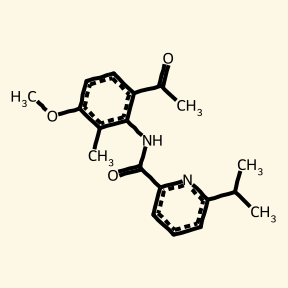 COc1ccc(C(C)=O)c(NC(=O)c2cccc(C(C)C)n2)c1C